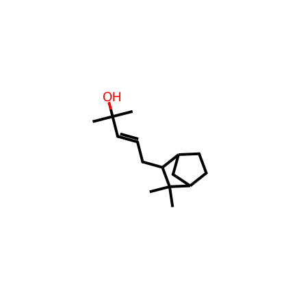 CC(C)(O)C=CCC1C2CCC(C2)C1(C)C